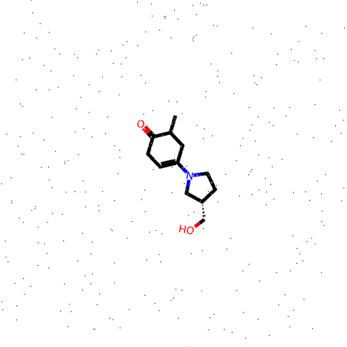 CC1CC(N2CC[C@H](CO)C2)=CCC1=O